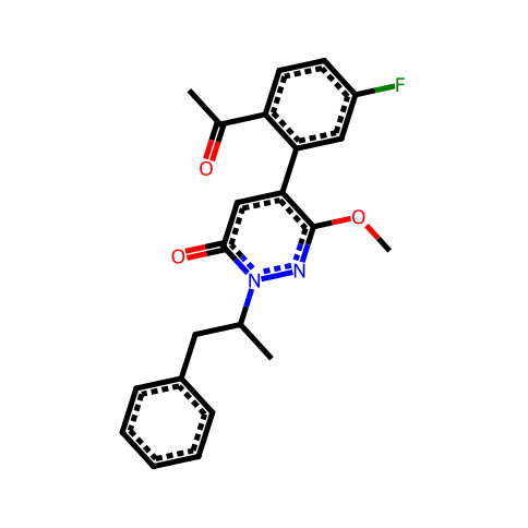 COc1nn(C(C)Cc2ccccc2)c(=O)cc1-c1cc(F)ccc1C(C)=O